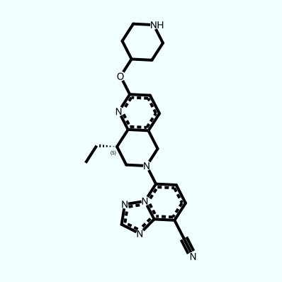 CC[C@H]1CN(c2ccc(C#N)c3ncnn23)Cc2ccc(OC3CCNCC3)nc21